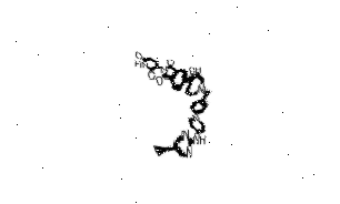 O=C1CCC(N2C(=O)c3ccc(C4(O)CCN(Cc5ccc(N6CCC(Nc7ncc(C8CC8)cn7)CC6)cc5)CC4)cc3C2=O)C(=O)N1